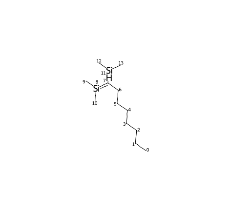 CCCCCCCC(=[Si](C)C)[SiH](C)C